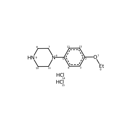 CCOc1ccc(N2CCNCC2)cc1.Cl.Cl